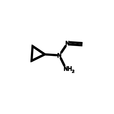 C=NN(N)C1CC1